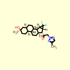 Cc1cnn(CC(=O)[C@H]2[C@@H]3[C@H]([C@H]4[C@@H]5CC[C@@H]6C[C@](C)(O)CC[C@@H]6[C@H]5CC[C@@]42C)C3(F)F)n1